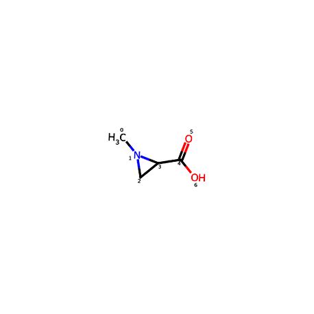 CN1CC1C(=O)O